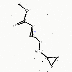 COC(=O)/C=C/CNC1CC1